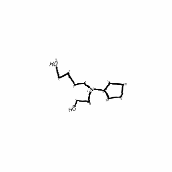 OCCCCN(CCO)C1CCCC1